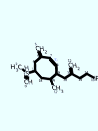 C#[SH](C)C1CC(=C)/C=C\C(CC(=C)CCC(C)C)C(C)C1